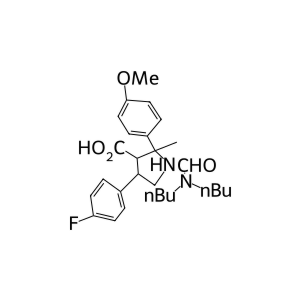 CCCCN(C=O)CCCC.COc1ccc(C2(C)NCC(c3ccc(F)cc3)C2C(=O)O)cc1